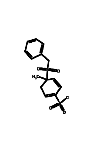 CC1(S(=O)(=O)Cc2ccccc2)C=CC(S(=O)(=O)Cl)=CC1